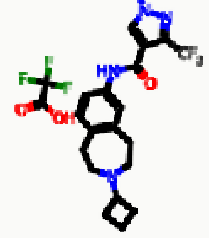 Cn1cc(C(=O)Nc2ccc3c(c2)CCN(C2CCC2)CC3)c(C(F)(F)F)n1.O=C(O)C(F)(F)F